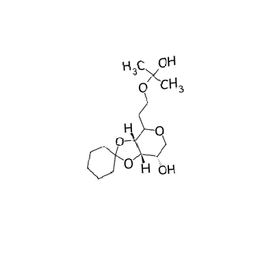 CC(C)(O)OCCC1OC[C@H](O)[C@@H]2OC3(CCCCC3)O[C@H]12